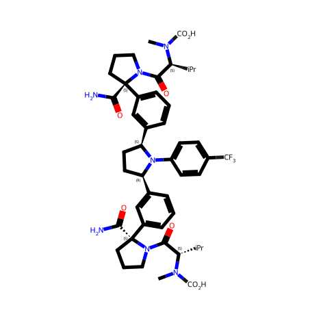 CC(C)[C@@H](C(=O)N1CCC[C@@]1(C(N)=O)c1cccc([C@H]2CC[C@@H](c3cccc([C@]4(C(N)=O)CCCN4C(=O)[C@H](C(C)C)N(C)C(=O)O)c3)N2c2ccc(C(F)(F)F)cc2)c1)N(C)C(=O)O